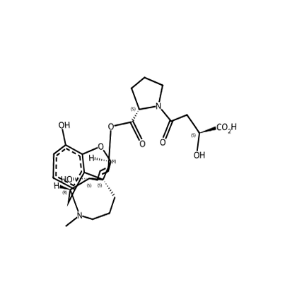 CN1CCC[C@]23c4c5ccc(O)c4O[C@H]2C(OC(=O)[C@@H]2CCCN2C(=O)C[C@H](O)C(=O)O)=CC[C@@]3(O)[C@H]1C5